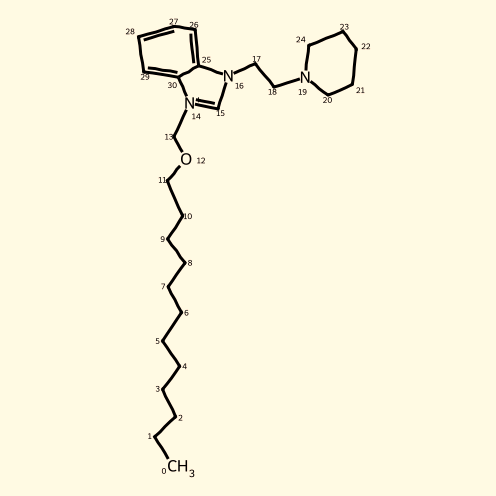 CCCCCCCCCCCCOC[n+]1cn(CCN2CCCCC2)c2ccccc21